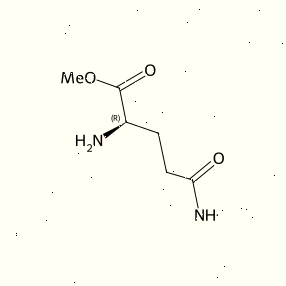 COC(=O)[C@H](N)CCC([NH])=O